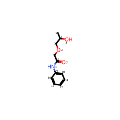 CC(O)COCC(=O)Nc1ccccc1